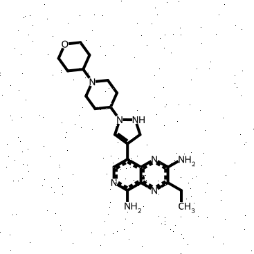 CCc1nc2c(N)ncc(C3=CN(C4CCN(C5CCOCC5)CC4)NC3)c2nc1N